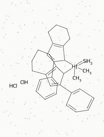 Cl.Cl.[CH3][Hf]([CH3])(=[SiH2])([CH]1C(c2ccccc2)=CC2=C1CCCC2)[CH]1C(c2ccccc2)=CC2=C1CCCC2